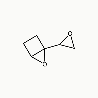 C1OC1C12CCC1O2